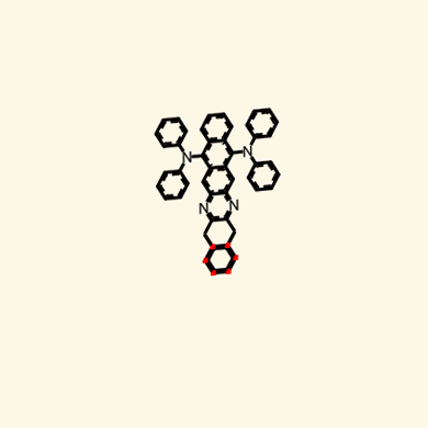 c1ccc(N(c2ccccc2)c2c3ccccc3c(N(c3ccccc3)c3ccccc3)c3cc4nc5c(nc4cc23)C2c3ccccc3C5c3ccccc32)cc1